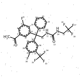 CC(=O)c1cc(F)cc(C(CNC(=O)NCC(F)(F)F)(c2ccccc2)c2ccc(F)c(C(F)(F)F)c2)c1